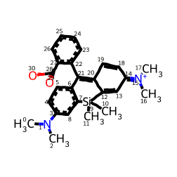 CN(C)c1ccc2c(c1)[Si](C)(C)C1=CC(=[N+](C)C)C=CC1=C2c1ccccc1C(=O)[O-]